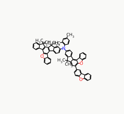 Cc1ccc(N(c2ccc3c(c2)C(C)(C)c2cc(-c4ccc5oc6ccccc6c5c4)c4oc5ccccc5c4c2-3)c2ccc3c(c2)C(C)(C)c2c4c(c5oc6ccccc6c5c2-3)-c2ccccc2C4(C)C)c(C)c1